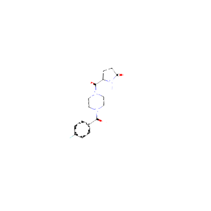 O=C1CCC(C(=O)N2CCN(C(=O)c3ccc(F)cc3)CC2)N1